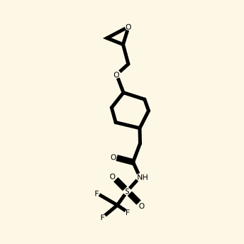 O=C(CC1CCC(OCC2CO2)CC1)NS(=O)(=O)C(F)(F)F